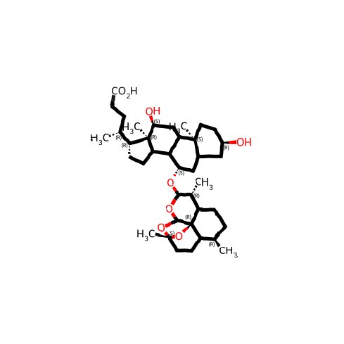 C[C@H]1C(O[C@H]2CC3C[C@H](O)CC[C@]3(C)C3C[C@H](O)[C@@]4(C)C(CC[C@@H]4[C@H](C)CCC(=O)O)C32)OC2O[C@@]3(C)CCC4[C@H](C)CCC1[C@@]24O3